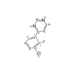 Cc1c(Cl)cccc1-c1ccncn1